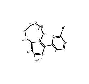 Cl.Fc1cccc(-c2ccnc3c2CNCCCO3)c1